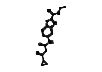 CCOC(=O)c1cc2ccc(NC(=O)CC(=O)C3CC3)cc2o1